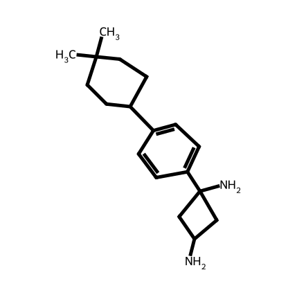 CC1(C)CCC(c2ccc(C3(N)CC(N)C3)cc2)CC1